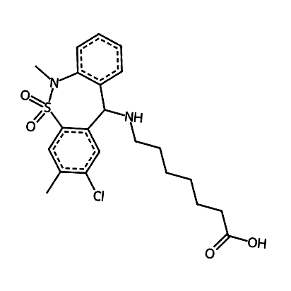 Cc1cc2c(cc1Cl)C(NCCCCCCC(=O)O)c1ccccc1N(C)S2(=O)=O